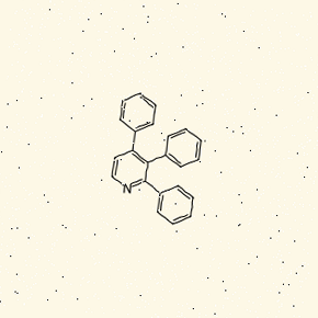 [c]1ccc(-c2c(-c3ccccc3)ccnc2-c2ccccc2)cc1